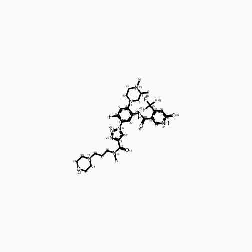 CC1CN(c2cc(F)c(-n3cc(C(=O)N(C)CCCN4CCOCC4)nn3)cc2NC(=O)c2c[nH]c(=O)cc2C(F)(F)F)CCN1C